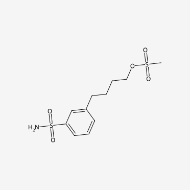 CS(=O)(=O)OCCCCc1cccc(S(N)(=O)=O)c1